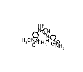 Cn1c(=O)n(C)c2cc(Nc3nc(Nc4cccc(S(N)(=O)=O)c4)ncc3F)ccc21